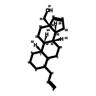 C=CCC1CCC[C@H]2C1CC[C@@H]1[C@@H]2CC[C@]2(CO)C=CC[C@@H]12